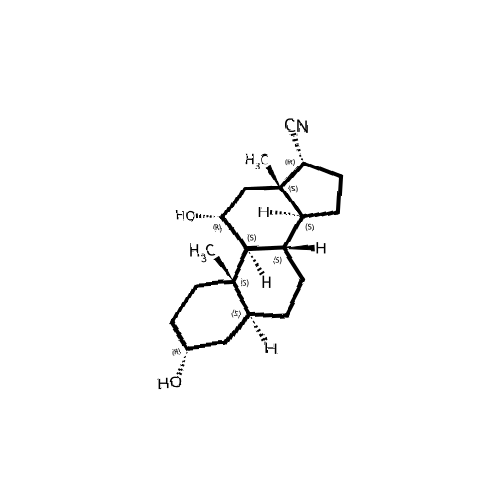 C[C@]12CC[C@@H](O)C[C@@H]1CC[C@@H]1[C@@H]2[C@H](O)C[C@]2(C)[C@H](C#N)CC[C@@H]12